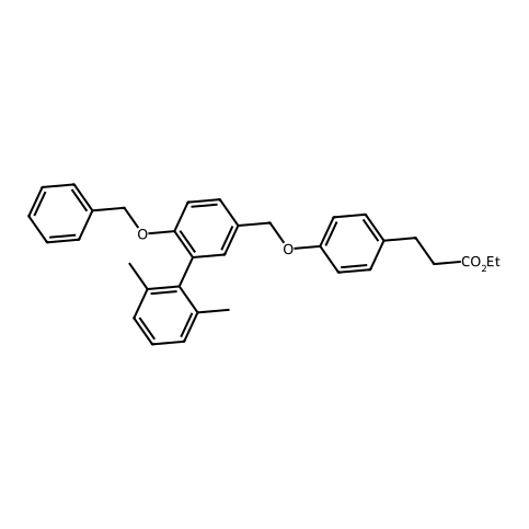 CCOC(=O)CCc1ccc(OCc2ccc(OCc3ccccc3)c(-c3c(C)cccc3C)c2)cc1